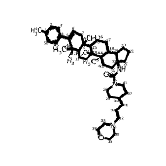 Cc1ccc(C2=CCC3(C)C(CCC4(C)C3CCC3C5CCCC5(NC(=O)N5CCC(CCCN6CCOCC6)CC5)CC[C@]34C)C2(C)C)cc1